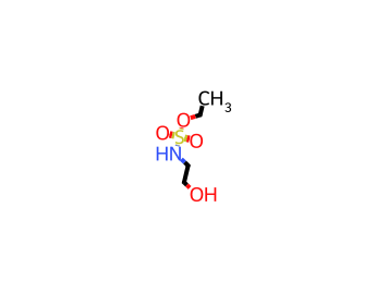 CCOS(=O)(=O)NCCO